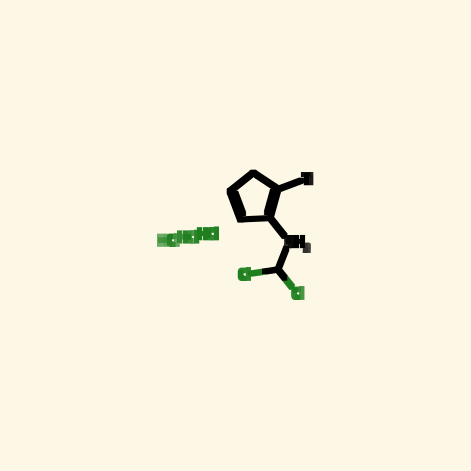 Cl.Cl.Cl.ClC(Cl)[SiH2]C1=[C]([Ti])CC=C1